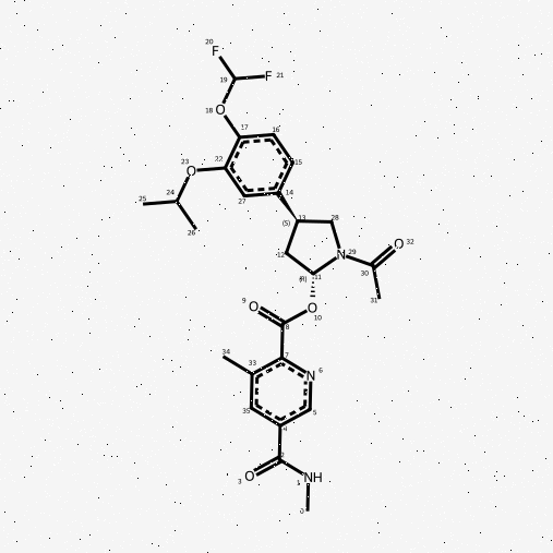 CNC(=O)c1cnc(C(=O)O[C@@H]2C[C@@H](c3ccc(OC(F)F)c(OC(C)C)c3)CN2C(C)=O)c(C)c1